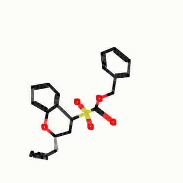 CC(=O)NC[C@H]1CC(S(=O)(=O)C(=O)OCc2ccccc2)c2ccccc2O1